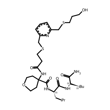 CC[C@H](C)[C@H](NC(=O)[C@H](CC(C)C)NC(=O)C1(NC(=O)CCSCc2cccc(CSCCCO)n2)CCOCC1)C(N)=O